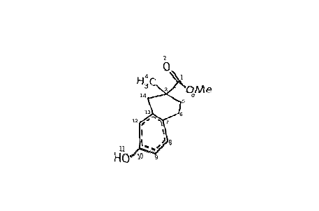 COC(=O)C1(C)CCc2ccc(O)cc2C1